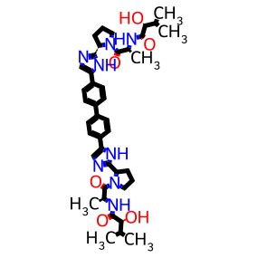 CC(C)[C@@H](O)C(=O)N[C@@H](C)C(=O)N1CCCC1c1ncc(-c2ccc(-c3ccc(-c4cnc([C@@H]5CCCN5C(=O)[C@H](C)NC(=O)[C@H](O)C(C)C)[nH]4)cc3)cc2)[nH]1